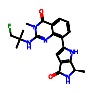 C[C@H]1NC(=O)c2cc(-c3cccc4c(=O)n(C)c(NC(C)(C)CF)nc34)[nH]c21